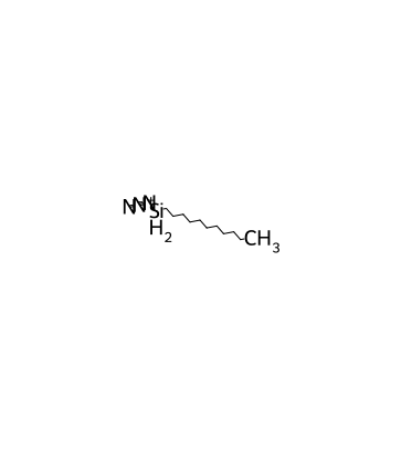 CCCCCCCCCCC[SiH2]N=[N+]=[N-]